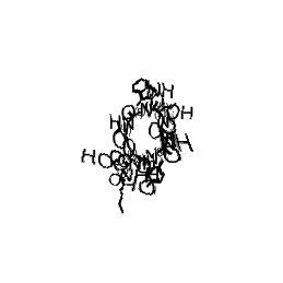 CCCCCC(=O)N[C@@H](CC(=O)O)C(=O)N[C@@H]1C(=O)N[C@@H](Cc2ccc(O)cc2)C(=O)N[C@H]2CC[C@@H](O)N(C2=O)[C@@H]([C@@H](C)CC)C(=O)N(C)[C@@H](Cc2c[nH]c3ccccc23)C(=O)N[C@@H](C(C)C)C(=O)O[C@@H]1C